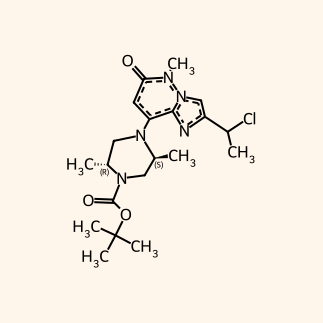 CC(Cl)c1cn2c(n1)c(N1C[C@@H](C)N(C(=O)OC(C)(C)C)C[C@@H]1C)cc(=O)n2C